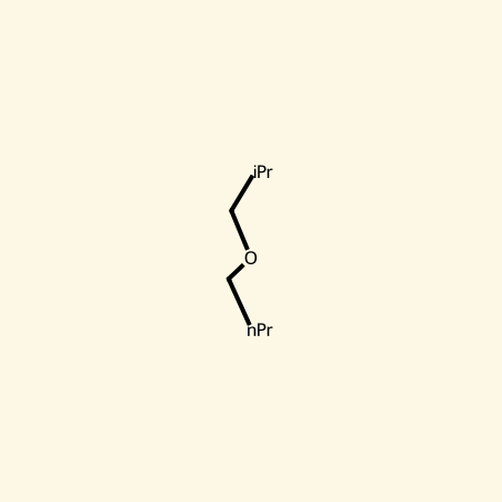 C[CH]CCOCC(C)C